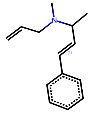 C=CCN(C)C(C)/C=C/c1ccccc1